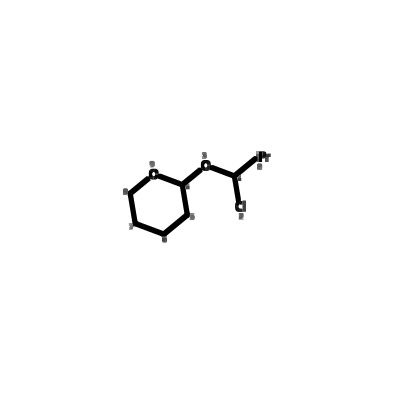 CC(C)C(Cl)OC1CCCCO1